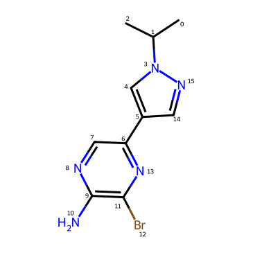 CC(C)n1cc(-c2cnc(N)c(Br)n2)cn1